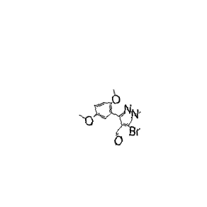 COc1ccc(OC)c(-c2nn(C)c(Br)c2C=O)c1